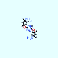 CC(C)(N)CC(C)(C)Oc1nnc(OC(C)(C)CC(C)(C)N)nn1